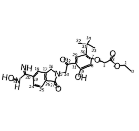 CCOC(=O)COc1cc(O)c(C(=O)CN2Cc3cc(C(=N)NO)ccc3C2=O)cc1C(C)(C)C